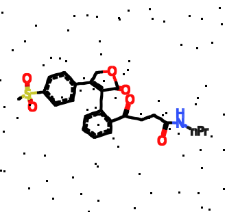 CCCNC(=O)CCC(=O)c1ccccc1C1=C(c2ccc(S(C)(=O)=O)cc2)COC1=O